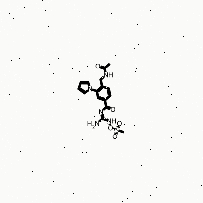 CC(=O)NCc1ccc(C(=O)N=C(N)NOS(C)(=O)=O)cc1-n1cccc1